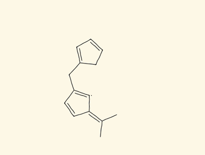 CC(C)=C1[C]=C(CC2=CC=CC2)C=C1